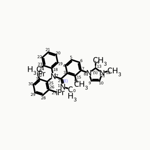 C/N=C(\c1cccc(N2C=CN(C)[C@@H]2C)c1C)N(c1ccccc1C)c1c(C(C)C)cccc1C(C)C